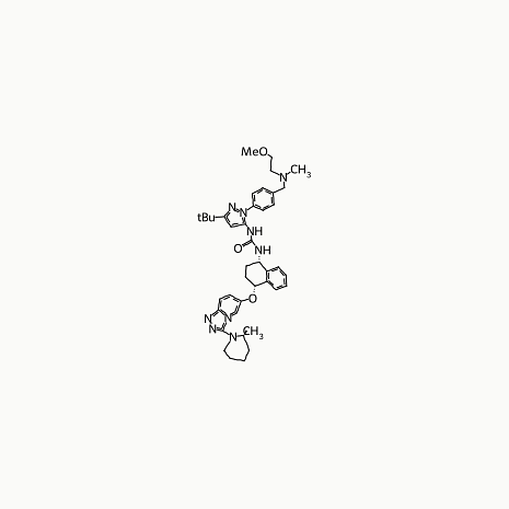 COCCN(C)Cc1ccc(-n2nc(C(C)(C)C)cc2NC(=O)N[C@H]2CC[C@@H](Oc3ccc4nnc(N5CCCC[C@@H]5C)n4c3)c3ccccc32)cc1